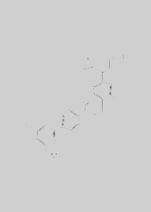 COc1cc(F)cc(-c2ccc(C3CCc4ccc(C(CC(=O)O)C5CC5)cc4O3)cc2)c1